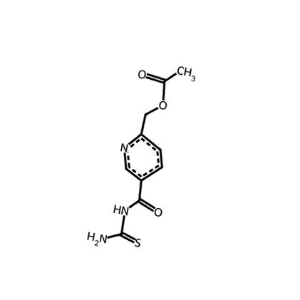 CC(=O)OCc1ccc(C(=O)NC(N)=S)cn1